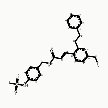 CS(=O)(=O)Nc1ccc(CNC(=O)/C=C/c2ccc(CF)nc2CCc2ccccc2)cc1